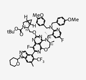 COc1ccc(CN(Cc2ccc(OC)cc2)c2ncc(F)cc2[C@@H](C)N2c3nc(OC[C@@H]4[C@H]5C[C@H]5CN4C(=O)OC(C)(C)C)nc4c(F)c(-c5c(C(F)(F)F)c(C)cc6c5cnn6C5CCCCO5)nc(c34)OC[C@@H]2C)cc1